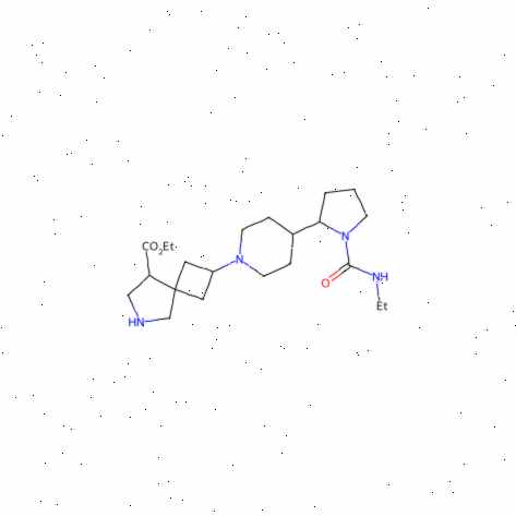 CCNC(=O)N1CCCC1C1CCN(C2CC3(CNCC3C(=O)OCC)C2)CC1